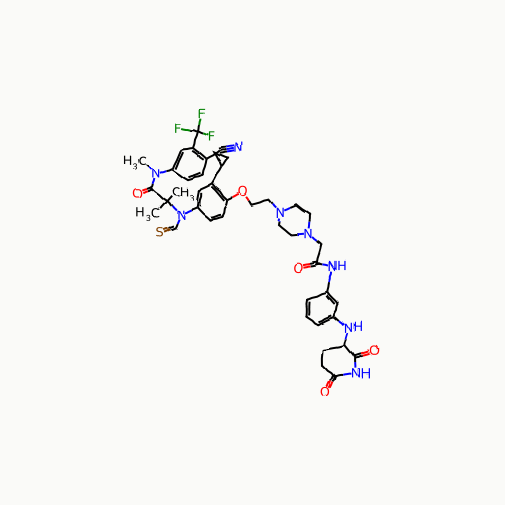 CN(C(=O)C(C)(C)N(C=S)c1ccc(OCCN2CCN(CC(=O)Nc3cccc(NC4CCC(=O)NC4=O)c3)CC2)c(C2CC2)c1)c1ccc(C#N)c(C(F)(F)F)c1